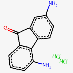 Cl.Cl.Nc1ccc2c(c1)C(=O)c1cccc(N)c1-2